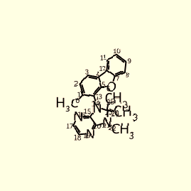 Cc1ccc2c(oc3ccccc32)c1N1c2nccnc2N(C)C1(C)C